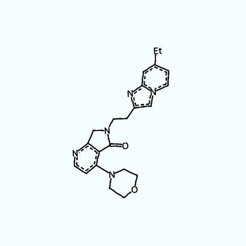 CCc1ccn2cc(CCN3Cc4nccc(N5CCOCC5)c4C3=O)nc2c1